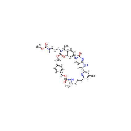 CCc1cc(CCC[C@H](C)NC(=O)OCc2ccccc2)nc(-c2cc3cn(-c4ccc([C@H](C)N(CCCNC(=O)OC(C)(C)C)C(=O)OC(C)(C)C)cc4)c(=O)nc3[nH]2)c1